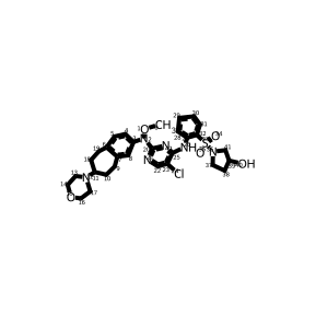 CON(c1ccc2c(c1)CCC(N1CCOCC1)CC2)c1ncc(Cl)c(Nc2ccccc2S(=O)(=O)N2CCC(O)C2)n1